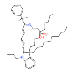 CCCCCCCCCCC1(CCCCCCCCCC)\C(=C/C=C/C=C/C(=N\CCC(=O)O)C(C)(C)c2ccccc2)N(CCC)c2ccccc21